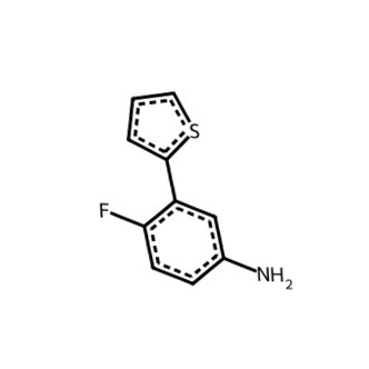 Nc1ccc(F)c(-c2cccs2)c1